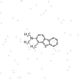 Cc1c(N(C)C)ccc2c1sc1ccccc12